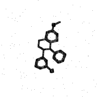 COc1ccc2c(c1)CCC(c1cccc(Cl)c1)C2c1ccccc1